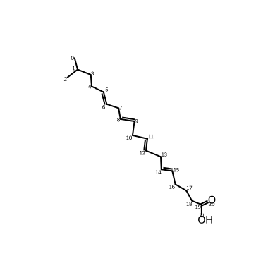 CC(C)CCC=CCC=CCC=CCC=CCCCC(=O)O